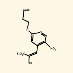 CCOC(=O)/C(O)=C\c1cc(OCCOC)ncc1[N+](=O)[O-]